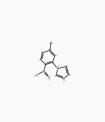 O=[N+]([O-])c1ccc(Br)cc1-n1ccnc1